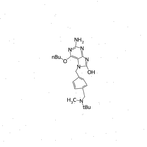 CCCCOc1nc(N)nc2nc(O)n(Cc3ccc(CN(C)C(C)(C)C)cc3)c12